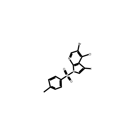 Cc1ccc(S(=O)(=O)n2cc(I)c3c(Cl)c(Br)cnc32)cc1